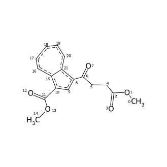 COC(=O)CCC(=O)c1cc(C(=O)OC)c2cccccc1-2